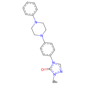 CCC(C)n1ncn(-c2ccc(N3CCN(c4ccccc4)CC3)cc2)c1=O